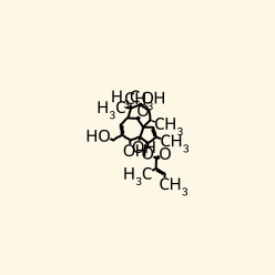 C/C=C(\C)C(=O)OC1C(C)=CC23C(=O)C(C=C(CO)C(O)C12O)C(C)(C)[C@](C)(O)C[C@H]3C